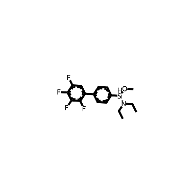 CCN(CC)[SiH](OC)c1ccc(-c2cc(F)c(F)c(F)c2F)cc1